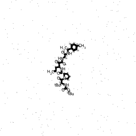 C=CCC(NC(=O)[C@@H]1CCCN1C(=O)[C@@H](NC(=O)OC(C)(C)C)C(C)(C)C)C(=O)C(=O)NCC(=O)NC(C)c1ccc(C)cc1